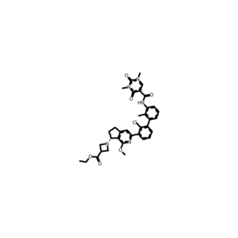 CCOC(=O)C1CN([C@@H]2CCc3cc(-c4cccc(-c5cccc(NC(=O)c6cn(C)c(=O)n(C)c6=O)c5C)c4Cl)nc(OC)c32)C1